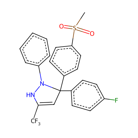 CS(=O)(=O)c1ccc(C2(c3ccc(F)cc3)C=C(C(F)(F)F)NN2c2ccccc2)cc1